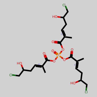 C/C(=C\CC(O)CCl)C(=O)OP(=O)(OC(=O)/C(C)=C/CC(O)CCl)OC(=O)/C(C)=C/CC(O)CCl